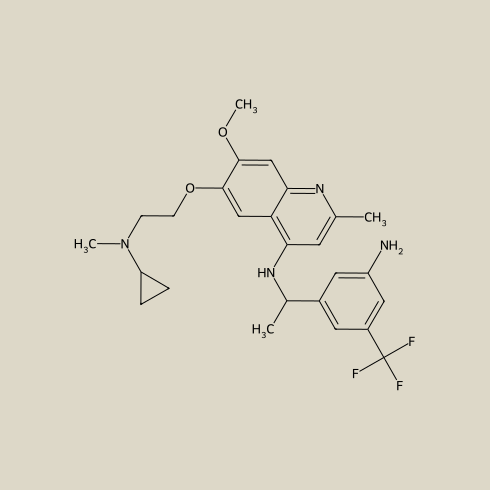 COc1cc2nc(C)cc(NC(C)c3cc(N)cc(C(F)(F)F)c3)c2cc1OCCN(C)C1CC1